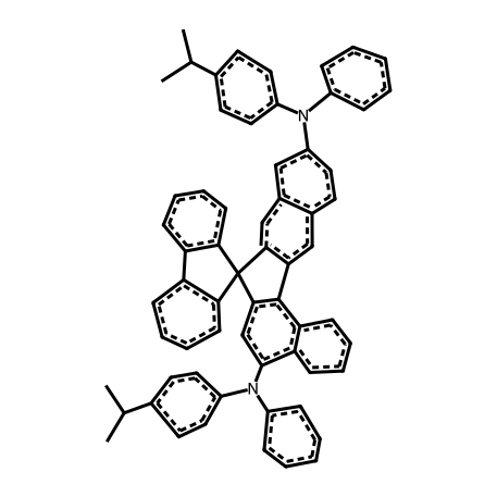 CC(C)c1ccc(N(c2ccccc2)c2ccc3cc4c(cc3c2)C2(c3ccccc3-c3ccccc32)c2cc(N(c3ccccc3)c3ccc(C(C)C)cc3)c3ccccc3c2-4)cc1